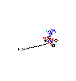 C#C[C@]1(COP(=O)(N[C@@H](Cc2ccccc2)C(=O)OCCCCCCCCCCCCCCCCCCCCCC)Oc2ccccc2)O[C@@H](n2cnc3c(N)nc(F)nc32)C[C@@H]1O